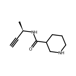 C#C[C@@H](C)NC(=O)C1CCCNC1